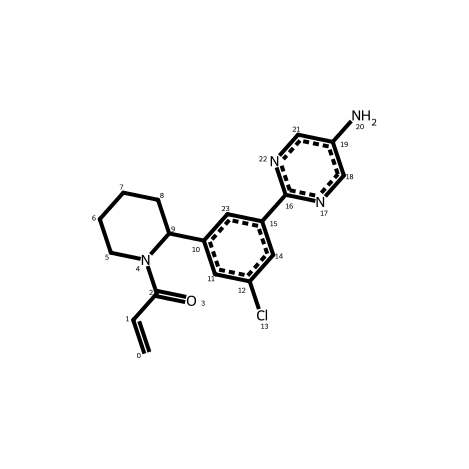 C=CC(=O)N1CCCCC1c1cc(Cl)cc(-c2ncc(N)cn2)c1